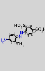 Cc1cc(N)ccc1N=Nc1ccc(S(=O)(=O)O)cc1S(=O)(=O)O